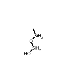 C[SiH2]O[SiH2]O